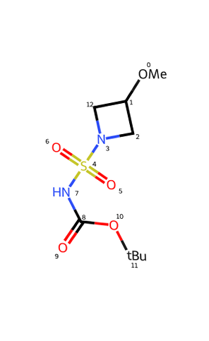 COC1CN(S(=O)(=O)NC(=O)OC(C)(C)C)C1